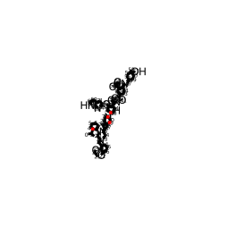 CC(C)c1ccccc1[C@@H]1CN(Cc2cccc3c2OCCO3)CCN1C1CC2(CCN(c3ccc(C(=O)NS(=O)(=O)c4ccc(NCC5CCC(C)(O)CC5)c([N+](=O)[O-])c4)c(Oc4cnc5[nH]ccc5c4)c3)CC2)C1